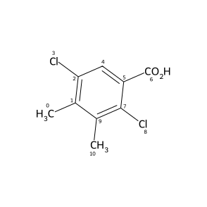 Cc1c(Cl)cc(C(=O)O)c(Cl)c1C